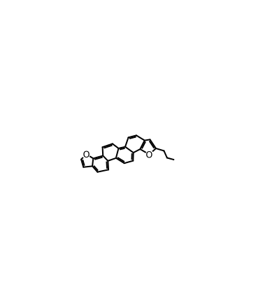 CCCc1cc2ccc3c4ccc5c(ccc6ccoc65)c4ccc3c2o1